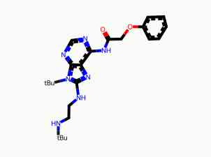 CC(C)(C)NCCNc1nc2c(NC(=O)COc3ccccc3)ncnc2n1C(C)(C)C